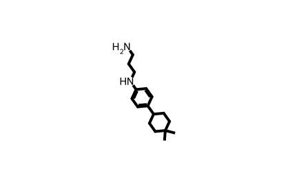 CC1(C)CCC(c2ccc(NCCCN)cc2)CC1